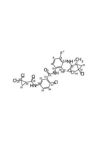 CC1(C(=O)Nc2c(F)ccc(NC(=O)c3cc(NC(=O)C4CC4(Cl)Cl)ccc3Cl)c2F)CC1(Cl)Cl